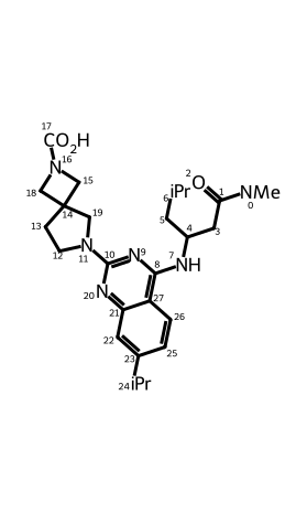 CNC(=O)CC(CC(C)C)Nc1nc(N2CCC3(CN(C(=O)O)C3)C2)nc2cc(C(C)C)ccc12